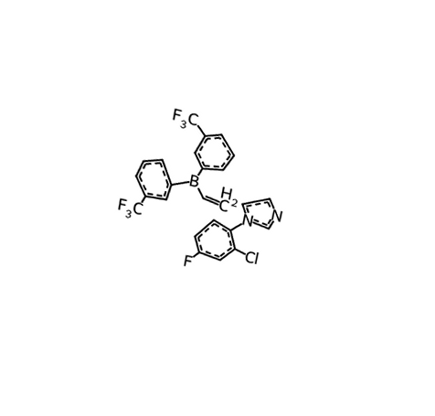 C=CB(c1cccc(C(F)(F)F)c1)c1cccc(C(F)(F)F)c1.Fc1ccc(-n2ccnc2)c(Cl)c1